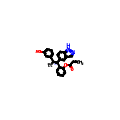 C=CC(=O)Oc1ccccc1/C(=C(\CC)c1cccc(O)c1)c1ccc2[nH]ncc2c1